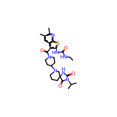 CCNC(=O)Nc1sc2nc(C)c(C)cc2c1C(=O)N1CCC(N2CCCC3(C2)NC(=O)N(C(C)C)C3=O)CC1